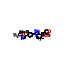 COc1cc(-c2nnc3n2CCCC3(CC2CCOCC2)C(C)(C)O)ccc1-c1cnc(C)o1